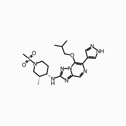 CC(C)COc1c(-c2cn[nH]c2)ncc2nc(N[C@H]3CCN(S(C)(=O)=O)C[C@H]3C)nn12